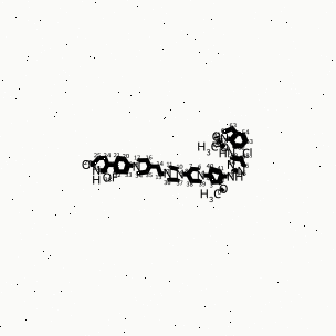 COc1cc(N2CCC(N3CCN(CCC4CCN(c5ccc(C6CCC(=O)NC6=O)c(F)c5)CC4)CC3)CC2)ccc1Nc1ncc(Cl)c(Nc2cccc3c2N(S(C)(=O)=O)CC3)n1